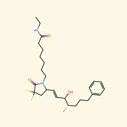 CCNC(=O)CCCCCCN1C(=O)C(F)(F)CC1C=C[C@@H](O)[C@@H](C)CCCc1ccccc1